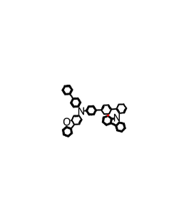 C1=CC(n2c3ccccc3c3ccccc32)=C(C2=CC=C(c3ccc(N(C4=CC5Oc6ccccc6C5C=C4)c4ccc(-c5ccccc5)cc4)cc3)CC2)CC1